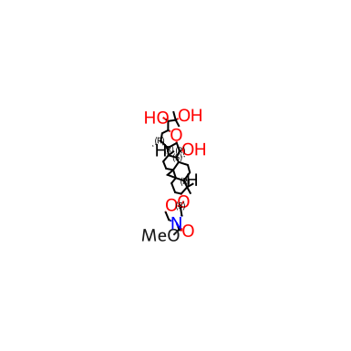 COC(=O)N1CCO[C@@H](OC2CCC34CC35CCC3(C)[C@@H]6C(OC(C(O)C(C)(C)O)C[C@H]6C)[C@H](O)[C@@]3(C)C5CC[C@H]4C2(C)C)C1